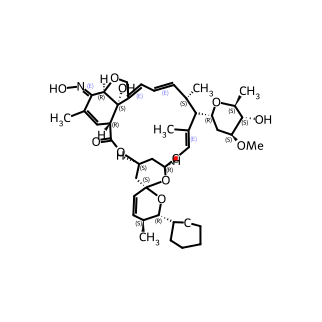 CO[C@H]1C[C@H](C2/C(C)=C/C[C@@H]3C[C@@H](C[C@]4(C=C[C@H](C)[C@@H](C5CCCCC5)O4)O3)OC(=O)[C@@H]3C=C(C)/C(=N\O)[C@H]4OC/C(=C\C=C\[C@@H]2C)[C@]43O)O[C@@H](C)[C@@H]1O